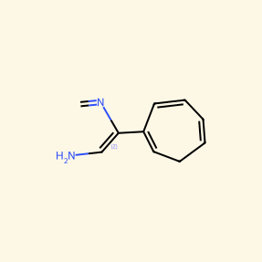 C=N/C(=C\N)C1=CCC=CC=C1